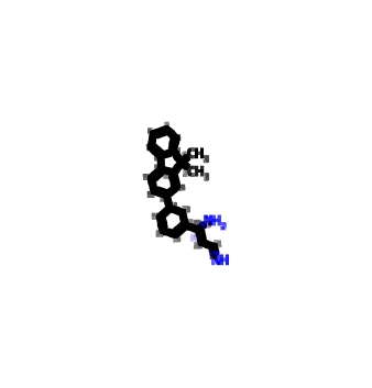 CC1(C)c2ccccc2-c2ccc(C3C=CC=C(/C(N)=C/C=N)C3)cc21